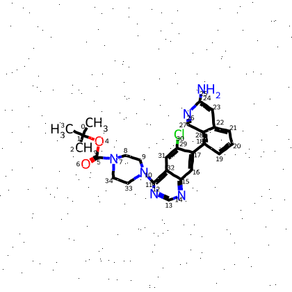 CC(C)(C)OC(=O)N1CCN(c2ncnc3cc(-c4cccc5cc(N)ncc45)c(Cl)cc23)CC1